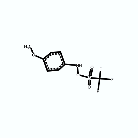 COc1ccc(NOS(=O)(=O)C(F)(F)F)cc1